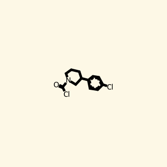 O=C(Cl)N1CCCC(c2ccc(Cl)cc2)C1